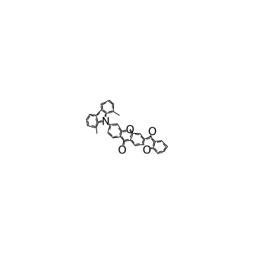 Cc1cccc2c3cccc(C)c3n(-c3ccc4c(=O)c5cc6oc7ccccc7c(=O)c6cc5oc4c3)c12